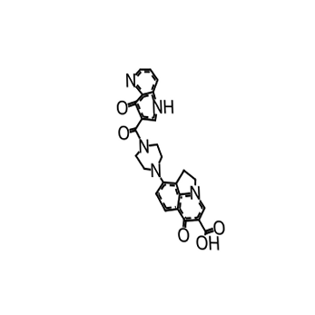 O=C(O)c1cn2c3c(c(N4CCN(C(=O)c5c[nH]c6cccnc6c5=O)CC4)ccc3c1=O)CC2